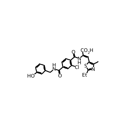 CCc1nc(C)c(/C=C(\NC(=O)c2ccc(C(=O)NCc3cccc(O)c3)cc2Cl)C(=O)O)s1